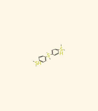 C[SH](C)c1ccc(S(C)(C)c2ccc([SH](C)C)cc2)cc1